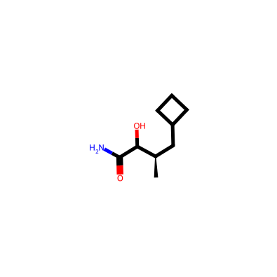 C[C@H](CC1CCC1)C(O)C(N)=O